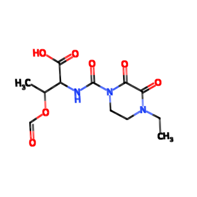 CCN1CCN(C(=O)NC(C(=O)O)C(C)OC=O)C(=O)C1=O